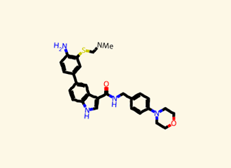 CNCSc1cc(-c2ccc3[nH]cc(C(=O)NCc4ccc(N5CCOCC5)cc4)c3c2)ccc1N